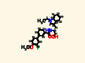 CCn1cc(C[C@H](CO)NC(=O)c2cccc(-c3ccc(OC)c(F)c3)c2)c2ccccc21